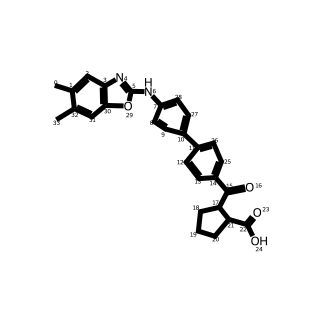 Cc1cc2nc(Nc3ccc(-c4ccc(C(=O)C5CCCC5C(=O)O)cc4)cc3)oc2cc1C